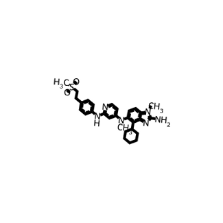 CN(c1ccnc(Nc2ccc(CCS(C)(=O)=O)cc2)c1)c1ccc2c(nc(N)n2C)c1C1CCCCC1